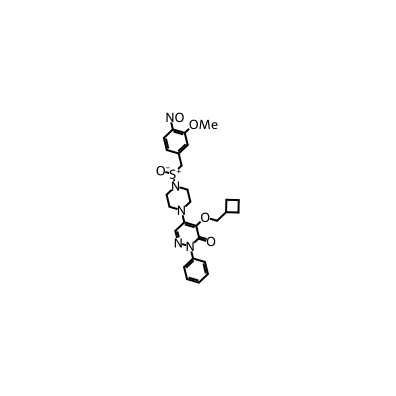 COc1cc(C[S+]([O-])N2CCN(c3cnn(-c4ccccc4)c(=O)c3OCC3CCC3)CC2)ccc1N=O